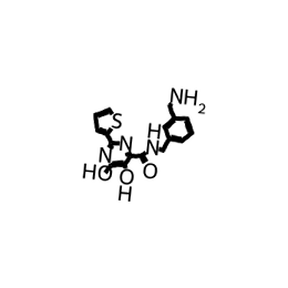 NCc1cccc(CNC(=O)c2nc(-c3cccs3)nc(O)c2O)c1